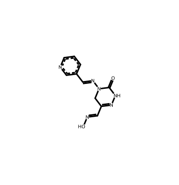 O=C1NN=C(/C=N/O)CN1/N=C/c1cccnc1